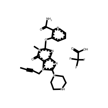 CC#CCn1c(N2CCNCC2)nc2nc(Oc3cccnc3C(N)=O)n(C)c(=O)c21.O=C(O)C(F)(F)F